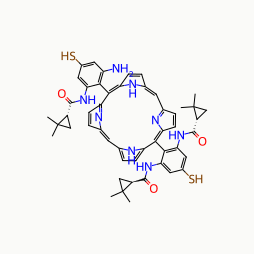 CC1(C)C[C@@H]1C(=O)Nc1cc(S)cc(NC(=O)[C@@H]2CC2(C)C)c1-c1c2nc(cc3ccc([nH]3)c(-c3c(N)cc(S)cc3NC(=O)[C@@H]3CC3(C)C)c3nc(cc4ccc1[nH]4)C=C3)C=C2